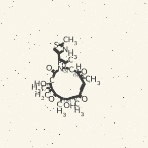 CC(=Cc1csc(C)n1)[C@@H]1C[C@@H]2O[C@]2(C)C=CC(=O)[C@H](C)[C@H](O)[C@@H](C)C(=O)C(C)(C)[C@@H](O)CC(=O)N1